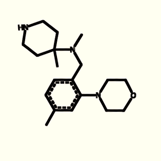 Cc1ccc(CN(C)C2(C)CCNCC2)c(N2CCOCC2)c1